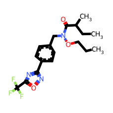 CCCON(Cc1ccc(-c2noc(C(F)(F)F)n2)cc1)C(=O)C(C)CC